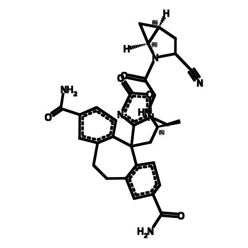 C[C@@H](CC1(c2nc(=O)on2C)c2ccc(C(N)=O)cc2CCc2cc(C(N)=O)ccc21)NCC(=O)N1C(C#N)C[C@@H]2C[C@@H]21